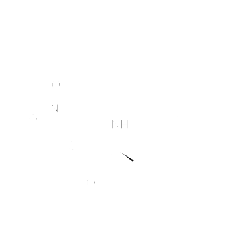 CCOC(=O)[C@H](Cc1ccccc1)NC(C[N+](=O)[O-])c1ccccc1